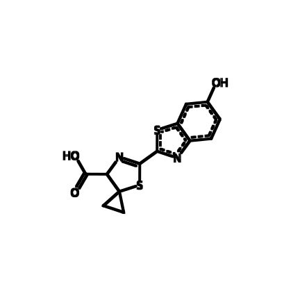 O=C(O)C1N=C(c2nc3ccc(O)cc3s2)SC12CC2